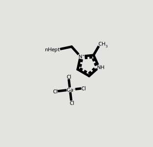 CCCCCCCC[n+]1cc[nH]c1C.[Cl][Ga-]([Cl])([Cl])[Cl]